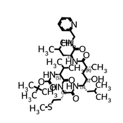 CSCC[C@H](NC(=O)[C@@H](NC(=O)OC(C)(C)C)C(C)C)C(=O)N[C@@H](CC(C)C)[C@@H](O)C[C@@H](C)C(=O)N[C@@H](CC(C)C)C(=O)NCc1ccccn1